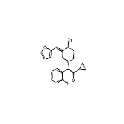 O=C(C1CC1)C(c1ccccc1F)N1CCC(S)/C(=C/c2ccco2)C1